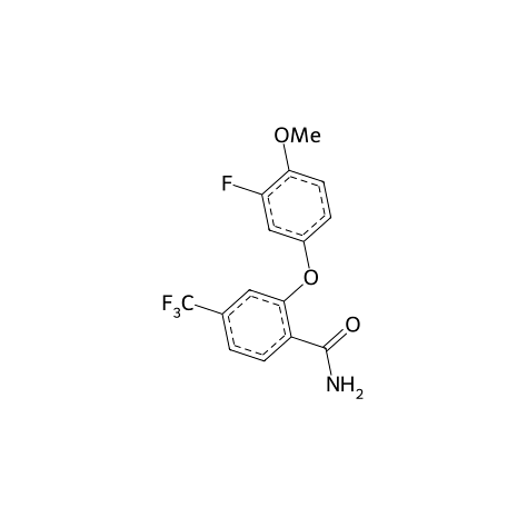 COc1ccc(Oc2cc(C(F)(F)F)ccc2C(N)=O)cc1F